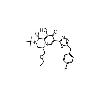 CCOC[C@H]1CN(C(C)(C)C)C(=O)c2c(O)c(=O)c(-c3nnc(Cc4ccc(F)cc4)s3)cn21